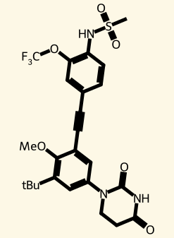 COc1c(C#Cc2ccc(NS(C)(=O)=O)c(OC(F)(F)F)c2)cc(N2CCC(=O)NC2=O)cc1C(C)(C)C